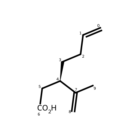 C=CCC[C@H](CC(=O)O)C(=C)C